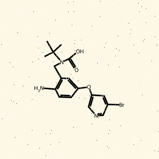 CC(C)(C)N(Cc1cc(Oc2cncc(Br)c2)ccc1N)C(=O)O